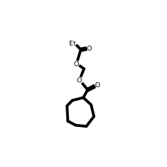 CCC(=O)OCOC(=O)C1CCCCCCC1